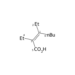 CCCCC(CC)=C(CC)C(=O)O